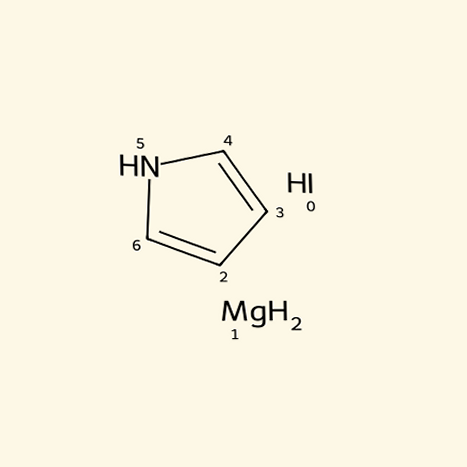 I.[MgH2].c1cc[nH]c1